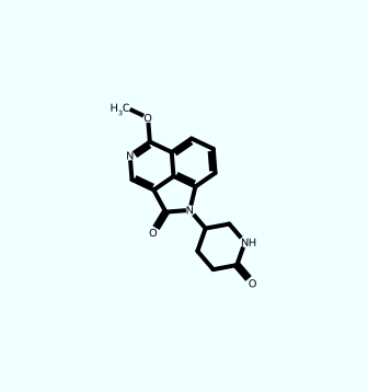 COc1ncc2c3c(cccc13)N(C1CCC(=O)NC1)C2=O